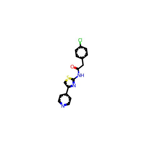 O=C(Cc1ccc(Cl)cc1)Nc1nc(-c2ccncc2)cs1